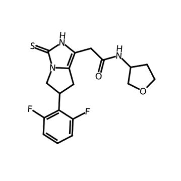 O=C(Cc1[nH]c(=S)n2c1CC(c1c(F)cccc1F)C2)NC1CCOC1